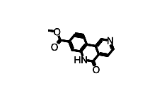 COC(=O)c1c#cc2c(c1)[nH]c(=O)c1ccncc12